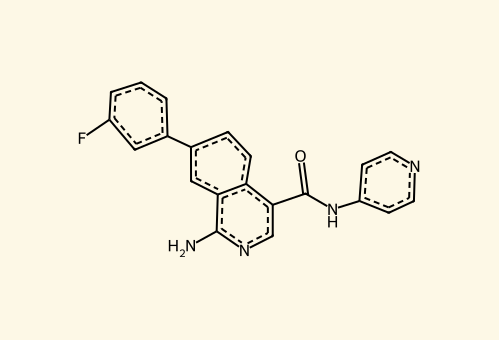 Nc1ncc(C(=O)Nc2ccncc2)c2ccc(-c3cccc(F)c3)cc12